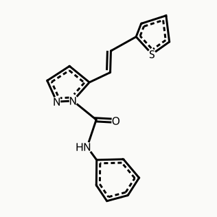 O=C(Nc1ccccc1)n1nccc1C=Cc1cccs1